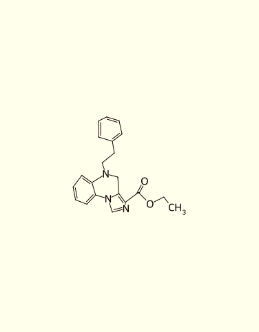 CCOC(=O)c1ncn2c1CN(CCc1ccccc1)c1ccccc1-2